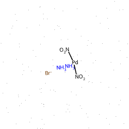 N.N.O=[N+]([O-])[Pd][N+](=O)[O-].[Br-]